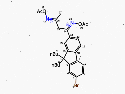 CCCCC1(CCCC)c2cc(Br)ccc2-c2ccc(/C(C/C(C)=N/OC(C)=O)=N\OC(C)=O)cc21